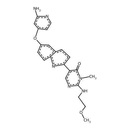 COCCNc1ncc(-c2ccc3cc(Oc4ccnc(N)c4)ccc3n2)c(=O)n1C